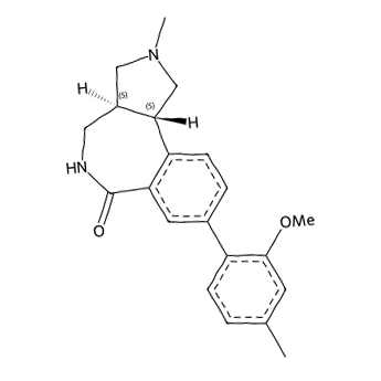 COc1cc(C)ccc1-c1ccc2c(c1)C(=O)NC[C@H]1CN(C)C[C@H]21